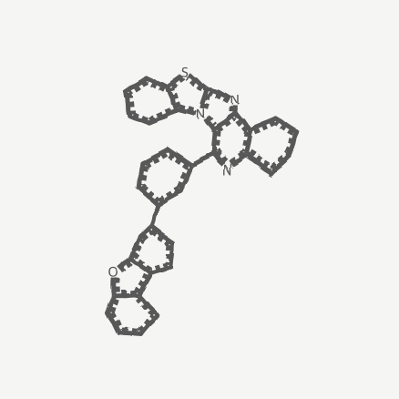 c1cc(-c2ccc3c(c2)oc2ccccc23)cc(-c2nc3ccccc3c3nc4sc5ccccc5n4c23)c1